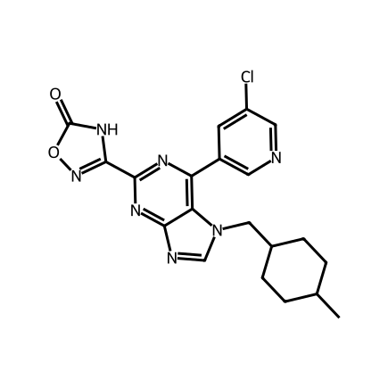 CC1CCC(Cn2cnc3nc(-c4noc(=O)[nH]4)nc(-c4cncc(Cl)c4)c32)CC1